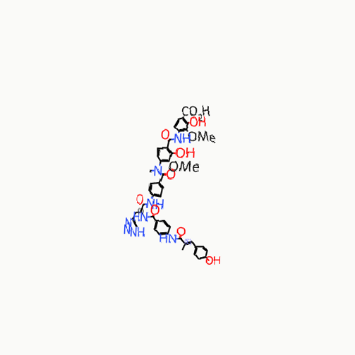 COc1c(NC(=O)c2ccc(N(C)C(=O)c3ccc(NC(=O)[C@H](Cc4c[nH]nn4)NC(=O)c4ccc(NC(=O)/C(C)=C/c5ccc(O)cc5)cc4)cc3)c(OC)c2O)ccc(C(=O)O)c1O